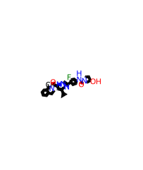 C[C@@H]1c2ccccc2CCN1C(=O)c1cc(C2CC2)c2nc(-c3ccc(NC(=O)N4CCC(O)C4)cc3F)cn2n1